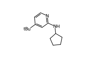 CC(C)(C)c1ccnc(NC2CCCC2)c1